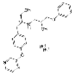 Cl.Cl.OC[C@H](Cc1ccc(Oc2cnccn2)cc1)NCC(O)COc1ccccc1